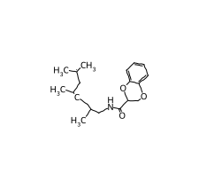 C[C](C)CC(C)CCC(C)CNC(=O)C1COc2ccccc2O1